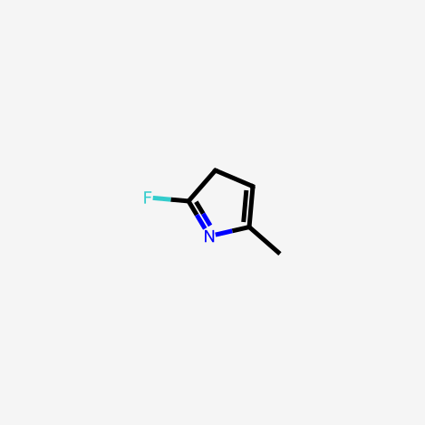 CC1=CCC(F)=N1